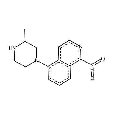 CC1CN(c2cccc3c([SH](=O)=O)nccc23)CCN1